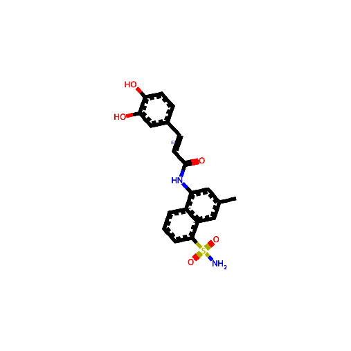 Cc1cc(NC(=O)/C=C/c2ccc(O)c(O)c2)c2cccc(S(N)(=O)=O)c2c1